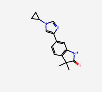 CC1(C)C(=O)Nc2cc(-c3cn(C4CC4)cn3)ccc21